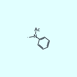 [CH2]N(C(C)=O)c1ccccc1